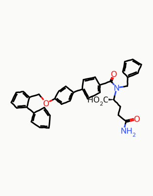 NC(=O)CC[C@@H](C(=O)O)N(Cc1ccccc1)C(=O)c1ccc(-c2ccc(OCc3ccccc3-c3ccccc3)cc2)cc1